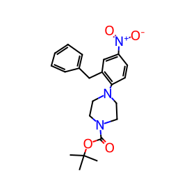 CC(C)(C)OC(=O)N1CCN(c2ccc([N+](=O)[O-])cc2Cc2ccccc2)CC1